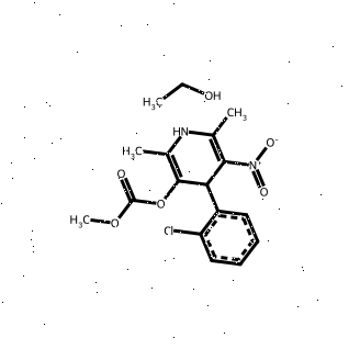 CCO.COC(=O)OC1=C(C)NC(C)=C([N+](=O)[O-])C1c1ccccc1Cl